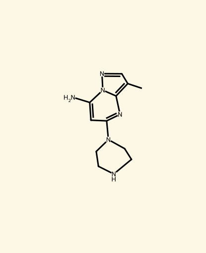 Cc1cnn2c(N)cc(N3CCNCC3)nc12